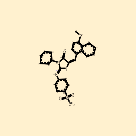 COc1ccc(C=C2S/C(=N\c3ccc(S(N)(=O)=O)cc3)N(c3ccccc3)C2=O)c2ccccc12